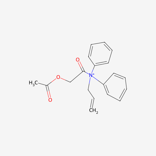 C=CC[N+](C(=O)COC(C)=O)(c1ccccc1)c1ccccc1